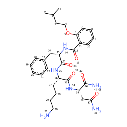 CC(C)CCOc1ccccc1C(=O)N[C@@H](Cc1ccccc1)C(=O)N[C@@H](CCCCN)C(=O)N[C@@H](CC(N)=O)C(N)=O